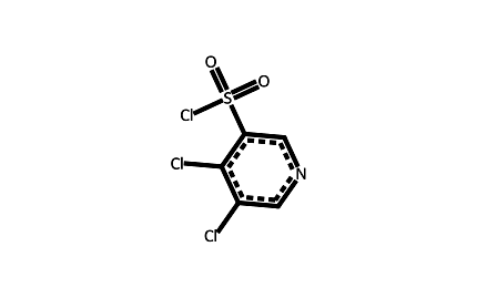 O=S(=O)(Cl)c1cncc(Cl)c1Cl